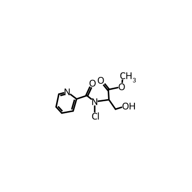 COC(=O)C(CO)N(Cl)C(=O)c1ccccn1